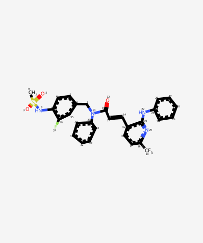 CS(=O)(=O)Nc1ccc(CN(C(=O)C=Cc2ccc(C(F)(F)F)nc2Nc2ccccc2)c2ccccc2)cc1F